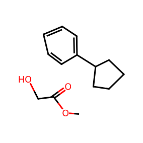 COC(=O)CO.c1ccc(C2CCCC2)cc1